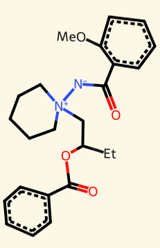 CCC(C[N+]1([N-]C(=O)c2ccccc2OC)CCCCC1)OC(=O)c1ccccc1